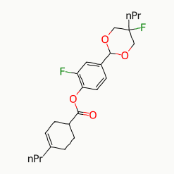 CCCC1=CCC(C(=O)Oc2ccc(C3OCC(F)(CCC)CO3)cc2F)CC1